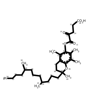 Cc1c(C)c2c(c(C)c1OC(=O)C(=O)CCC(=O)O)CCC(C)(CCCC(C)CCCC(C)CCCC(C)C)O2